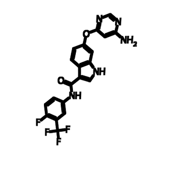 Nc1cc(Oc2ccc3c(C(=O)Nc4ccc(F)c(C(F)(F)F)c4)c[nH]c3c2)ncn1